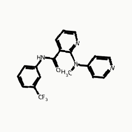 CN(c1ccncc1)c1ncccc1C(=O)Nc1cccc(C(F)(F)F)c1